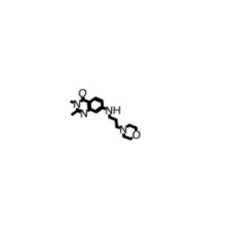 Cc1nc2cc(NCCCN3CCOCC3)ccc2c(=O)n1C